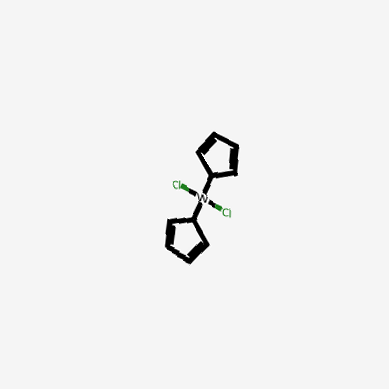 [Cl][W]([Cl])([CH]1C=CC=C1)[CH]1C=CC=C1